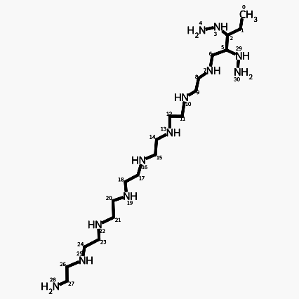 CCC(NN)C(CNCCNCCNCCNCCNCCNCCNCCN)NN